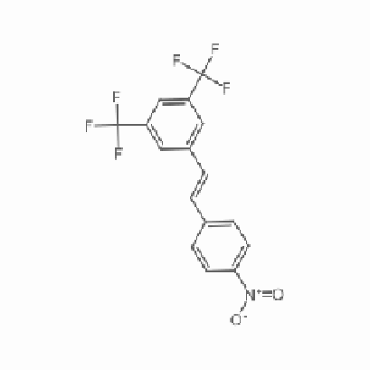 O=[N+]([O-])c1ccc(C=Cc2cc(C(F)(F)F)cc(C(F)(F)F)c2)cc1